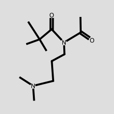 CC(=O)N(CCCN(C)C)C(=O)C(C)(C)C